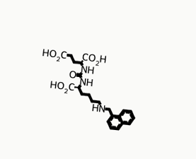 O=C(O)CC[C@H](NC(=O)N[C@@H](CCCCNCc1cccc2ccccc12)C(=O)O)C(=O)O